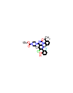 C=Cc1cccc(C(C)C)c1-n1c(=O)nc(N2CCN(C(=O)OC(C)(C)C)C[C@@H]2C)c2cc(Cl)c(-c3c(O)cccc3F)nc21